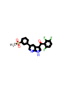 CS(=O)(=O)c1cccc(-c2cnc3[nH]cc(C(=O)c4c(F)ccc(F)c4F)c3c2)c1